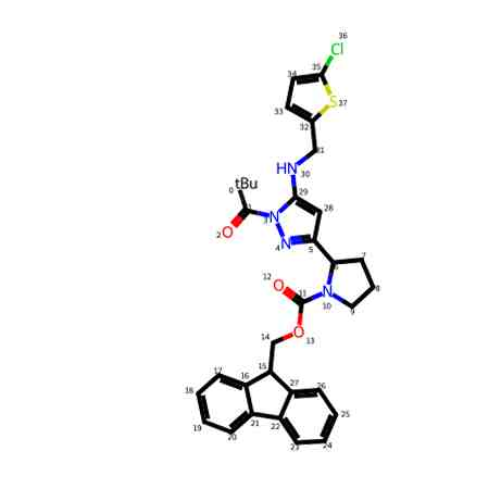 CC(C)(C)C(=O)n1nc(C2CCCN2C(=O)OCC2c3ccccc3-c3ccccc32)cc1NCc1ccc(Cl)s1